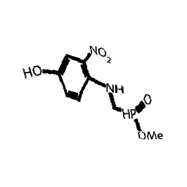 CO[PH](=O)CNc1ccc(O)cc1[N+](=O)[O-]